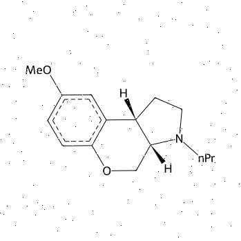 CCCN1CC[C@H]2c3cc(OC)ccc3OC[C@H]21